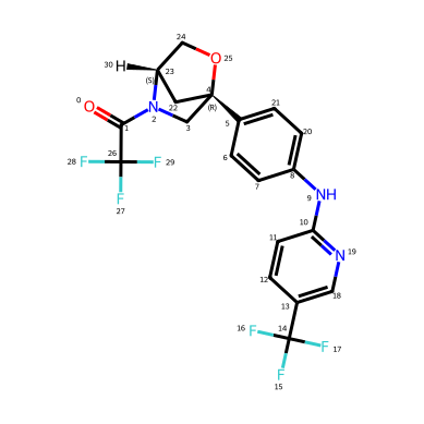 O=C(N1C[C@]2(c3ccc(Nc4ccc(C(F)(F)F)cn4)cc3)C[C@H]1CO2)C(F)(F)F